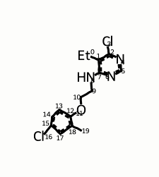 CCc1c(Cl)ncnc1NCCOc1ccc(Cl)cc1C